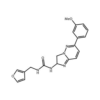 COc1cccc(C2=NN3CC(NC(=O)NCc4ccoc4)N=C3C=C2)c1